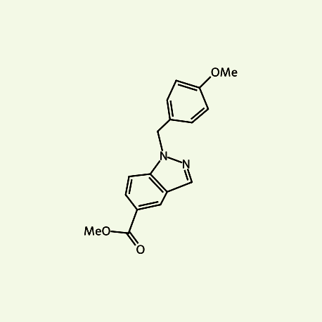 COC(=O)c1ccc2c(cnn2Cc2ccc(OC)cc2)c1